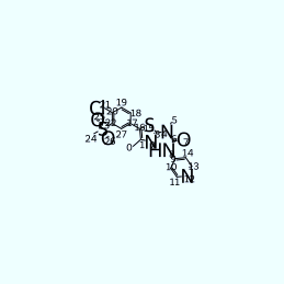 Cc1nc(N(C)C(=O)Nc2ccncc2)sc1-c1ccc(Cl)c(S(C)(=O)=O)c1